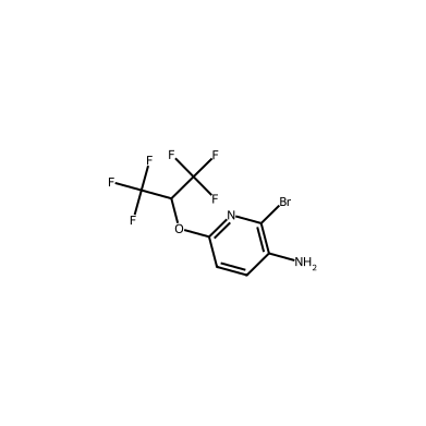 Nc1ccc(OC(C(F)(F)F)C(F)(F)F)nc1Br